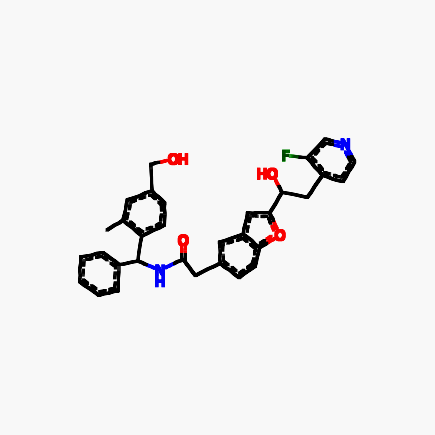 Cc1cc(CO)ccc1C(NC(=O)Cc1ccc2oc(C(O)Cc3ccncc3F)cc2c1)c1ccccc1